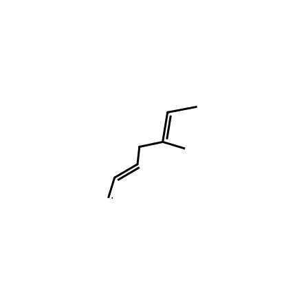 [CH2]/C=C/C/C(C)=C/C